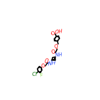 O=C(COCc1ccc(C(=O)O)cc1)NC12CC(NC(=O)COc3ccc(Cl)c(F)c3)(C1)C2